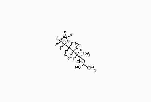 CC(O)CC(C)(C)C(F)(F)C(C)(C)C(F)(F)C(F)(NC(F)(F)F)C(F)(F)F